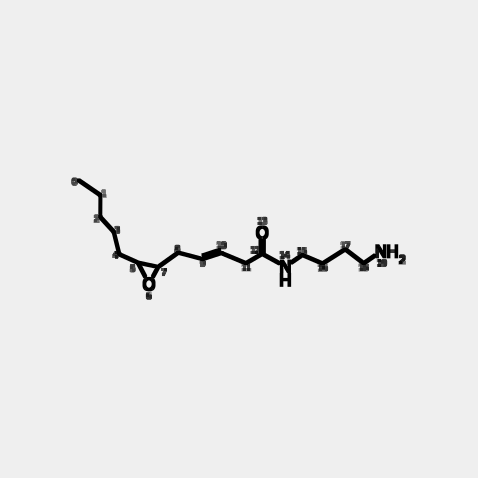 CCCCCC1OC1C/C=C/CC(=O)NCCCCN